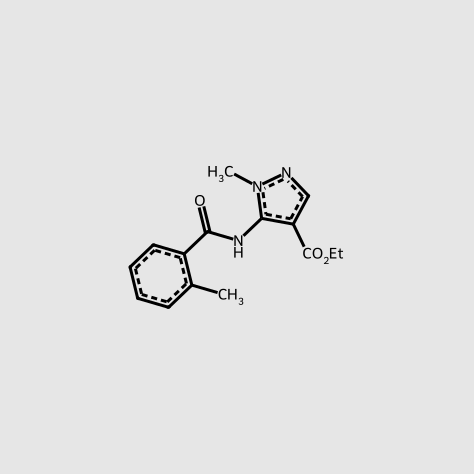 CCOC(=O)c1cnn(C)c1NC(=O)c1ccccc1C